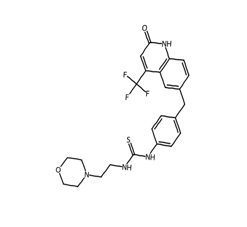 O=c1cc(C(F)(F)F)c2cc(Cc3ccc(NC(=S)NCCN4CCOCC4)cc3)ccc2[nH]1